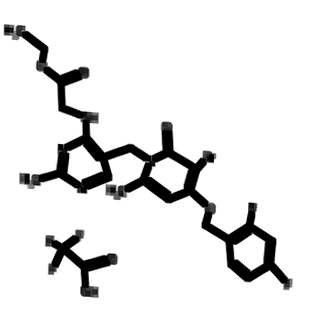 CCOC(=O)CNc1nc(C)ncc1Cn1c(C)cc(OCc2ccc(F)cc2F)c(Br)c1=O.O=C(O)C(F)(F)F